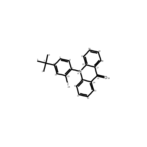 CC(C)(C)c1ccc(-n2c3ccccc3c(=O)c3ccccc32)c(I)c1